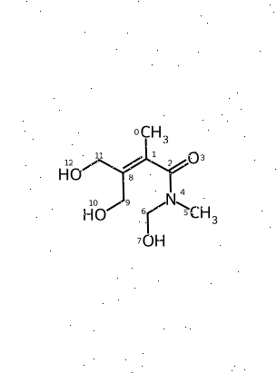 CC(C(=O)N(C)CO)=C(CO)CO